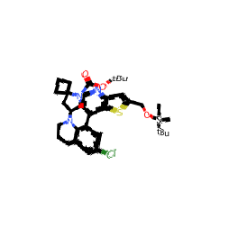 CC(C)(C)OC(=O)N1CC(N2CCCc3cc(Cl)cc(-c4ccnc5cc(CO[Si](C)(C)C(C)(C)C)sc45)c32)CC12CCC2